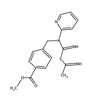 COC(=O)c1ccc(CN(C(=N)SC(C)=N)c2ccccn2)cc1